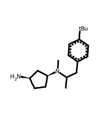 CC(Cc1ccc(C(C)(C)C)cc1)N(C)[C@H]1CC[C@@H](N)C1